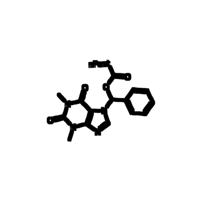 CCCCCC(=O)OC(c1ccccc1)n1cnc2c1c(=O)n(C)c(=O)n2C